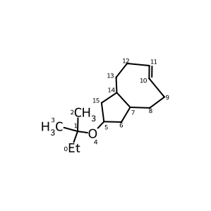 CCC(C)(C)OC1CC2CC/C=C/CCC2C1